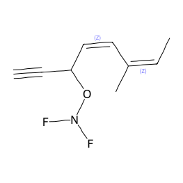 C#CC(/C=C\C(C)=C/C)ON(F)F